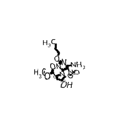 CCCCOc1nc(N)c([N+](=O)[O-])c(N2C[C@H](O)C[C@H]2C(=O)OC)n1